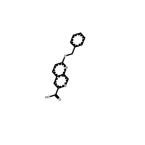 O=C(O)c1cc2ccc(OCc3ccccc3)nc2cn1